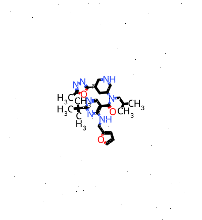 Cc1nnc([C@H]2CNCC(N(CC(C)C)C(=O)c3cnc(C(C)(C)C)nc3NCc3ccco3)C2)o1